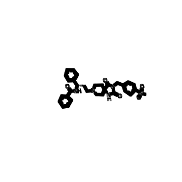 CS(=O)(=O)c1ccc(CN2C(=O)NC3(CCN(CC[C@H](NC(=O)c4ccccc4)c4ccccc4)CC3)C2=O)cc1